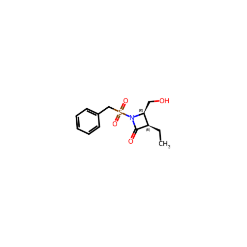 CC[C@H]1C(=O)N(S(=O)(=O)Cc2ccccc2)[C@H]1CO